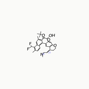 C/N=C\C=C1\CCOc2ccc(-c3c([C@H](OC(C)(C)C)C(=O)O)c(C)cc4c(C(F)F)c(C)ccc34)cc21